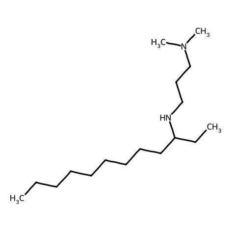 CCCCCCCCCC(CC)NCCCN(C)C